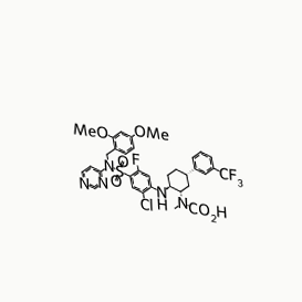 COc1ccc(CN(c2ccncn2)S(=O)(=O)c2cc(Cl)c(N[C@H]3CC[C@H](c4cccc(C(F)(F)F)c4)C[C@@H]3N(C)C(=O)O)cc2F)c(OC)c1